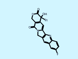 CCC1(O)C(=O)OCc2c1cc1n(c2=O)Cc2cc3cc(F)ccc3nc2-1